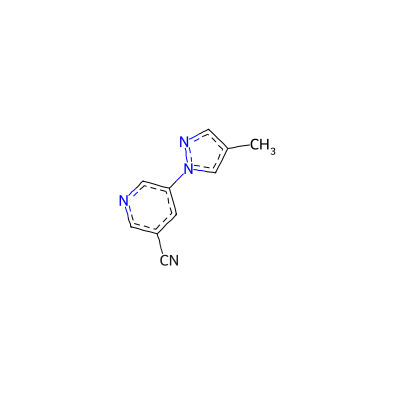 Cc1cnn(-c2cncc(C#N)c2)c1